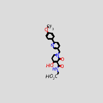 O=C(O)CNC(=O)C1=C(O)CCN(Cc2ccc(-c3ccc(OC(F)(F)F)cc3)nc2)C1=O